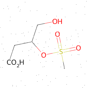 CS(=O)(=O)OC(CO)CC(=O)O